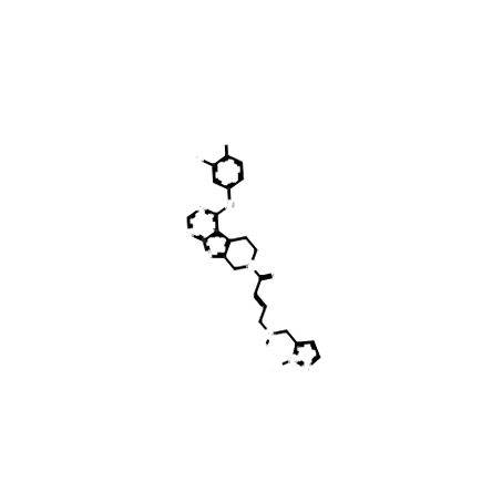 CN(C/C=C/C(=O)N1CCc2c(sc3ncnc(Nc4ccc(F)c(N)c4)c23)C1)Cc1ccnn1C